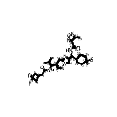 C=C(C)C(NC(=O)CC1CC(F)(F)C1)c1cnn2cc([C@@H](NC(=O)c3nonc3C)C3CCC(F)(F)CC3)nc2c1